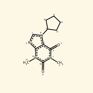 Cn1c(=O)c2c(ncn2C2CCCC2)n(C)c1=O